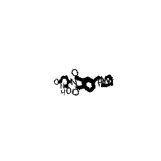 O=C1CCC(N2C(=O)c3ccc(CN4CC5CC(C4)N5)cc3C2=O)C(=O)N1